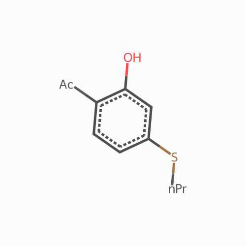 CCCSc1ccc(C(C)=O)c(O)c1